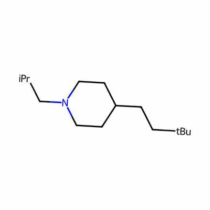 CC(C)CN1CCC(CCC(C)(C)C)CC1